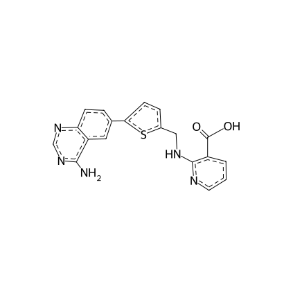 Nc1ncnc2ccc(-c3ccc(CNc4ncccc4C(=O)O)s3)cc12